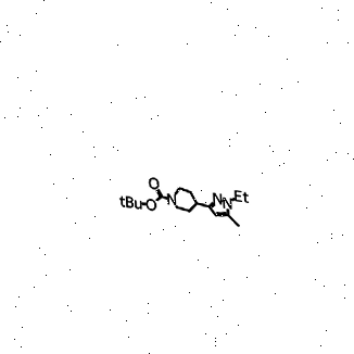 CCn1nc(C2CCN(C(=O)OC(C)(C)C)CC2)cc1C